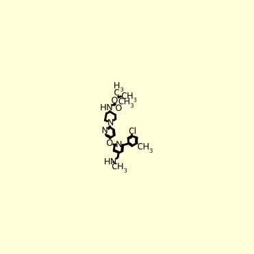 CNCc1cc(Oc2ccc(N3CCC(NC(=O)OC(C)(C)C)CC3)nc2)nc(-c2cc(C)cc(Cl)c2)c1